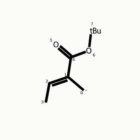 [CH2]/C(=C\C)C(=O)OC(C)(C)C